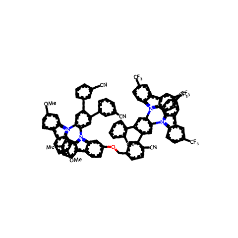 COc1ccc2c3ccc(OC)cc3n(-c3cc(-c4cccc(C#N)c4)c(-c4cccc(C#N)c4)cc3-n3c4cc(OC)ccc4c4ccc(OCc5ccc(C#N)c(-c6cc(-n7c8ccc(C(F)(F)F)cc8c8cc(C(F)(F)F)ccc87)c(-n7c8ccc(C(F)(F)F)cc8c8cc(C(F)(F)F)ccc87)cc6-c6ccccc6C#N)c5)cc43)c2c1